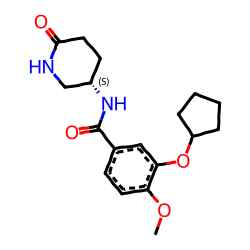 COc1ccc(C(=O)N[C@H]2CCC(=O)NC2)cc1OC1CCCC1